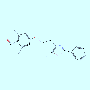 Cc1cc(OCCc2nc(-c3ccccc3)oc2C)cc(C)c1C=O